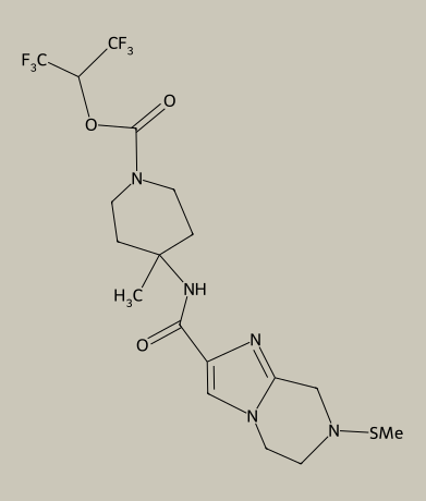 CSN1CCn2cc(C(=O)NC3(C)CCN(C(=O)OC(C(F)(F)F)C(F)(F)F)CC3)nc2C1